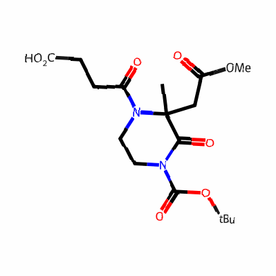 COC(=O)CC1(C)C(=O)N(C(=O)OC(C)(C)C)CCN1C(=O)CCC(=O)O